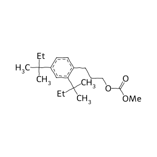 CCC(C)(C)c1ccc(CCCOC(=O)OC)c(C(C)(C)CC)c1